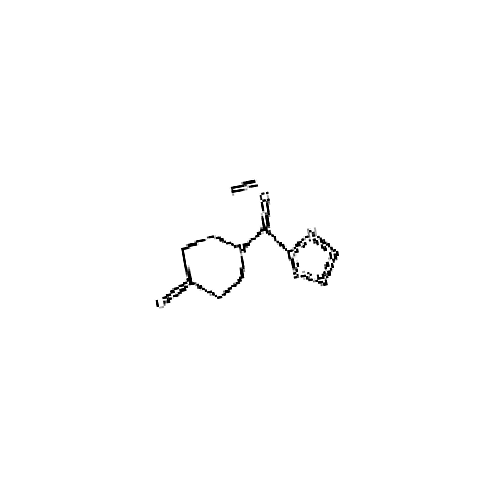 C=C.O=C1CCN(C(=O)c2nccs2)CC1